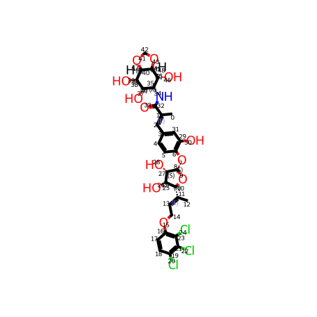 C/C(=C\c1ccc(O[C@@H]2O[C@H](/C(C)=C/COc3ccc(Cl)c(Cl)c3Cl)[C@@H](O)[C@@H]2O)c(O)c1)C(=O)N[C@@H]1[C@H](O)[C@@H](O)[C@H]2OCO[C@H]2[C@@H]1O